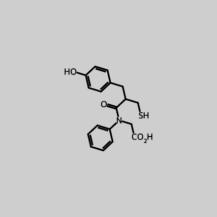 O=C(O)CN(C(=O)C(CS)Cc1ccc(O)cc1)c1ccccc1